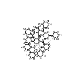 Cc1ccc2c(oc3ccccc32)c1B1c2cc(-c3ccccc3)cc3c2N2c4c1cc(-c1cc5ccccc5c5ccccc15)cc4[Si](c1ccccc1)(c1ccccc1)c1ccc4c(c12)B3c1ccccc1S4